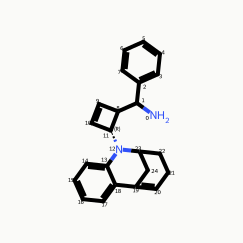 NC(c1ccccc1)C1C=C[C@H]1N1c2ccccc2C2=CCCC1C2